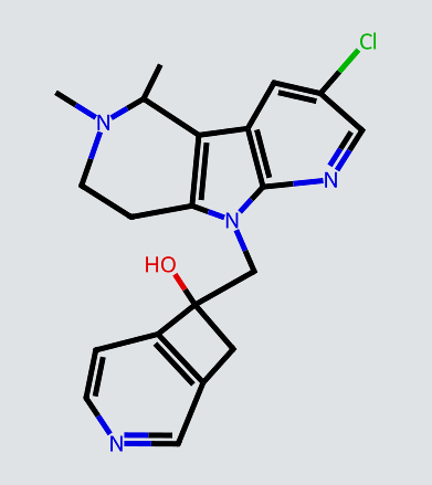 CC1c2c(n(CC3(O)Cc4cnccc43)c3ncc(Cl)cc23)CCN1C